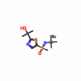 CC(C)(O)c1ncc(S(C)(=O)=N[Si](C)(C)C(C)(C)C)s1